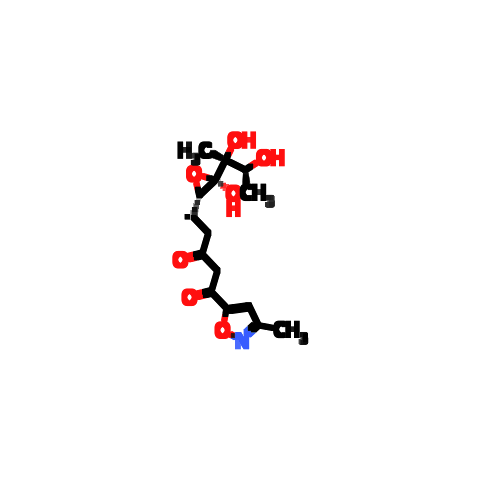 Cc1cc(C(=O)CC(=O)C[CH][C@@H]2O[C@@]2(O)[C@](C)(O)[C@H](C)O)on1